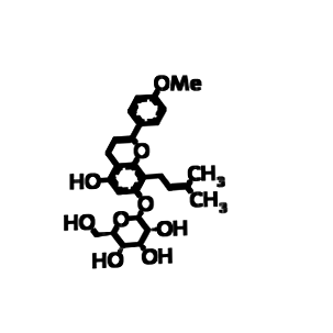 COc1ccc(C2=CCc3c(O)cc(O[C@@H]4O[C@H](CO)[C@@H](O)[C@H](O)[C@H]4O)c(CC=C(C)C)c3O2)cc1